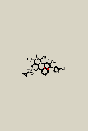 COc1cc(N2C3=C(CN(S(=O)(=O)C4CC4)CC3c3ccccc3)C(N)N(C)C2N)ccc1-n1cnc(Cl)c1